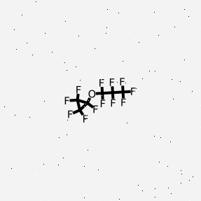 FC(F)(F)C(F)(F)C(F)(F)OC1(F)C(F)(F)C1(F)F